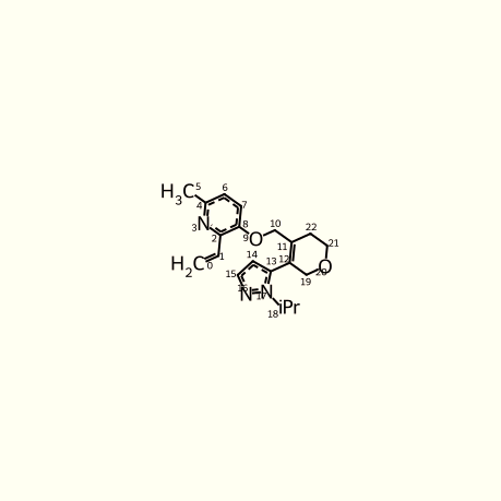 C=Cc1nc(C)ccc1OCC1=C(c2ccnn2C(C)C)COCC1